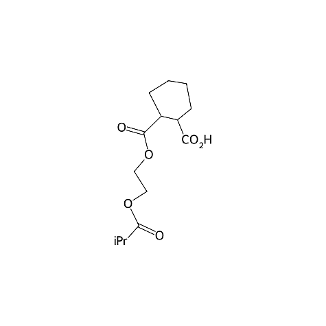 CC(C)C(=O)OCCOC(=O)C1CCCCC1C(=O)O